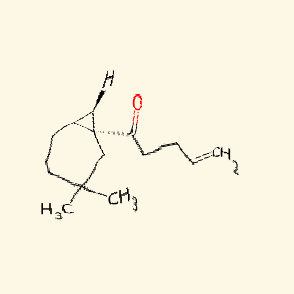 C=CCCC(=O)[C@@]12C3CCC(C)(C)C1[C@@H]32